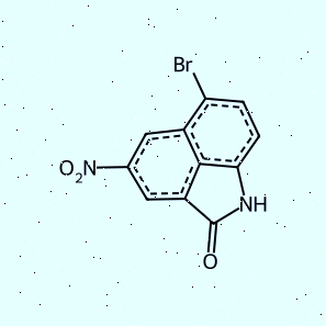 O=C1Nc2ccc(Br)c3cc([N+](=O)[O-])cc1c23